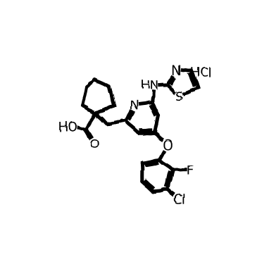 Cl.O=C(O)C1(Cc2cc(Oc3cccc(Cl)c3F)cc(Nc3nccs3)n2)CCCCC1